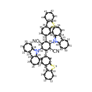 N#Cc1c(-c2ccc3c(c2)sc2ccccc23)c(-n2c3ccccc3c3ccccc32)c(C#N)c(-c2ccc3c(c2)sc2ccccc23)c1-n1c2ccccc2c2ccccc21